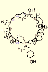 C/C1=C\C[C@@H]([C@H](C)C[C@H]2CC[C@H](O)CC2)OC(=O)[C@@H]2CCCCN2C(=O)C(=O)[C@]2(O)O[C@@H](CC[C@H]2C)C[C@H](O)/C(C)=C/C=C/C=C/[C@@H](C)C[C@@H](C)C(=O)[C@H](O)[C@@H]1O